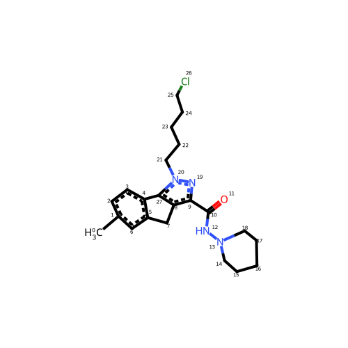 Cc1ccc2c(c1)Cc1c(C(=O)NN3CCCCC3)nn(CCCCCCl)c1-2